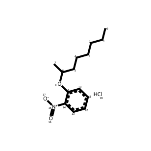 CCCCCCC(C)Oc1ccccc1[N+](=O)[O-].Cl